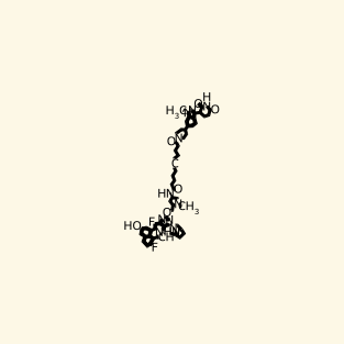 C#Cc1c(F)ccc2cc(O)cc(-c3ncc4c(N5CC6CCC(C5)N6)nc(OCC5C[C@@H](NC(=O)CCCCCCCCCCC(=O)N6CCC(c7ccc8c(C9CCC(=O)NC9=O)nn(C)c8c7)CC6)CN5C)nc4c3F)c12